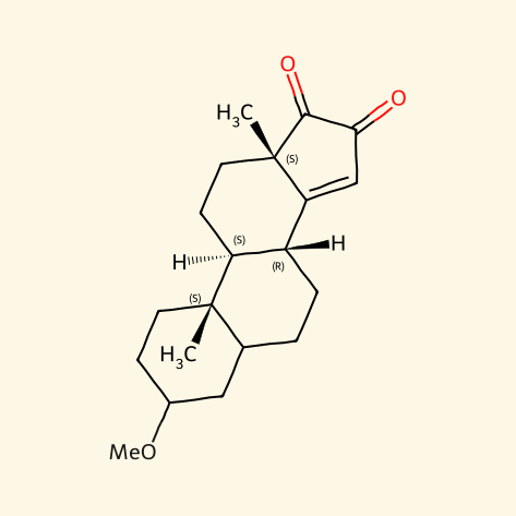 COC1CC[C@@]2(C)C(CC[C@H]3C4=CC(=O)C(=O)[C@@]4(C)CC[C@@H]32)C1